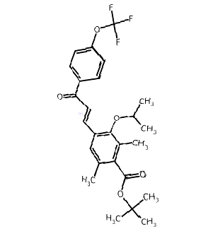 Cc1cc(/C=C/C(=O)c2ccc(OC(F)(F)F)cc2)c(OC(C)C)c(C)c1C(=O)OC(C)(C)C